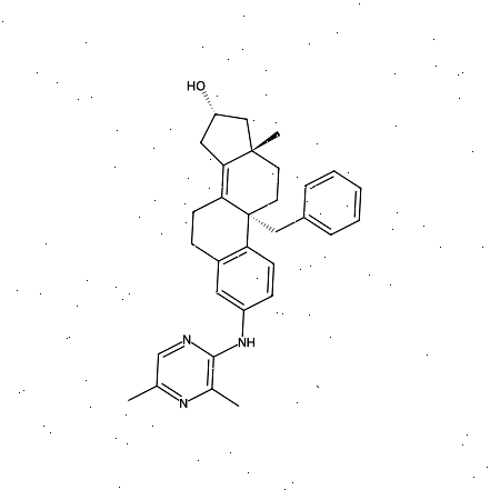 Cc1cnc(Nc2ccc3c(c2)CCC2=C4C[C@H](O)C[C@]4(C)CC[C@]23Cc2ccccc2)c(C)n1